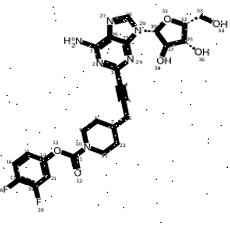 Nc1nc(C#CCC2CCN(C(=O)Oc3ccc(F)c(F)c3)CC2)nc2c1ncn2[C@@H]1O[C@H](CO)[C@H](O)C1O